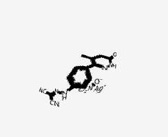 CC1CC(=O)NN=C1c1ccc(NN=C(C#N)C#N)cc1.O=[N+]([O-])[O-].[Ag+]